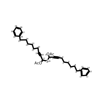 CC(=O)OC(C#CCCCCCCc1ccccc1)SC(C#CCCCCCCc1ccccc1)OC(C)=O